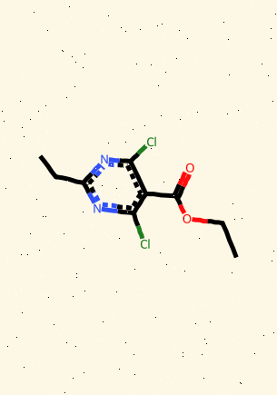 CCOC(=O)c1c(Cl)nc(CC)nc1Cl